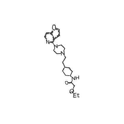 CCOCC(=O)NC1CCC(CCN2CCN(c3nccc4occc34)CC2)CC1